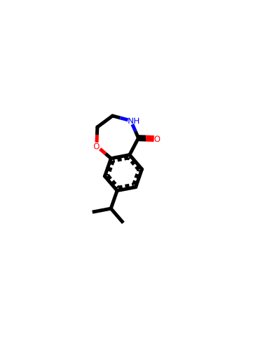 CC(C)c1ccc2c(c1)OCCNC2=O